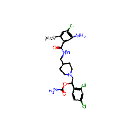 COc1cc(Cl)c(N)cc1C(=O)NCC1CCN(CC(OC(N)=O)c2ccc(Cl)cc2Cl)CC1